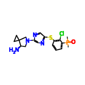 CP(C)(=O)c1cccc(Sc2cnc(N3C[C@@H](N)C4(CC4)C3)cn2)c1Cl